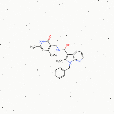 COc1cc(C)[nH]c(=O)c1CNC(O)c1c(C)n(Cc2ccccc2)c2ncccc12